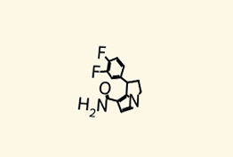 NC(=O)c1ccn2c1C(c1ccc(F)c(F)c1)CC2